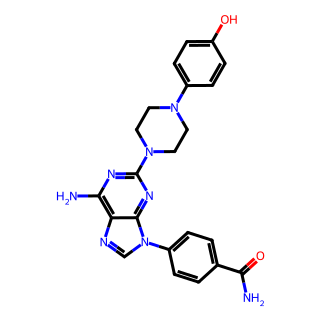 NC(=O)c1ccc(-n2cnc3c(N)nc(N4CCN(c5ccc(O)cc5)CC4)nc32)cc1